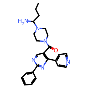 CCCC(N)N1CCN(C(=O)c2cnc(-c3ccccc3)nc2-c2ccncc2)CC1